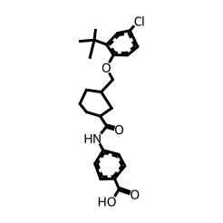 CC(C)(C)c1cc(Cl)ccc1OCC1CCCC(C(=O)Nc2ccc(C(=O)O)cc2)C1